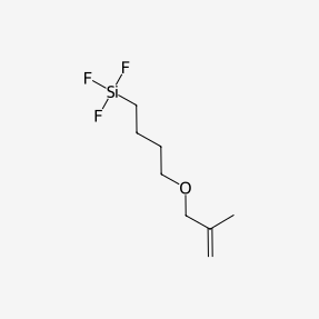 C=C(C)COCCCC[Si](F)(F)F